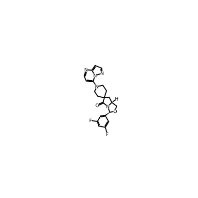 O=C1N2[C@@H](CO[C@H]2c2cc(F)cc(F)c2)CC12CCN(c1ccnc3ccnn13)CC2